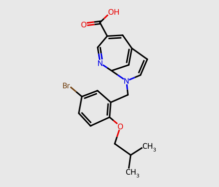 CC(C)COc1ccc(Br)cc1CN1C=CC2=CC1N=CC(C(=O)O)=C2